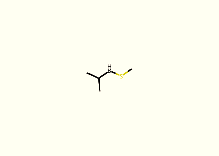 CSBC(C)C